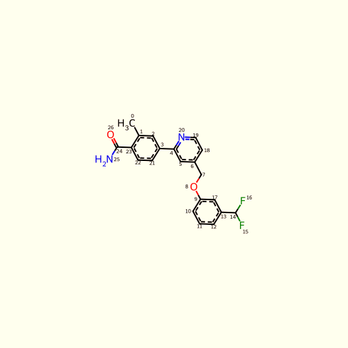 Cc1cc(-c2cc(COc3cccc(C(F)F)c3)ccn2)ccc1C(N)=O